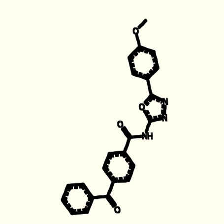 COc1ccc(-c2nnc(NC(=O)c3ccc(C(=O)c4ccccc4)cc3)o2)cc1